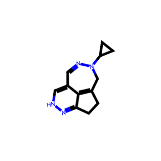 C1=NN(C2CC2)CC2=C3C1=CNN=C3CC2